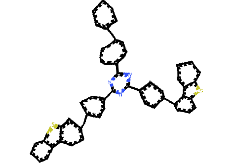 c1ccc(-c2ccc(-c3nc(-c4ccc(-c5ccc6c(c5)sc5ccccc56)cc4)nc(-c4ccc(-c5cccc6sc7ccccc7c56)cc4)n3)cc2)cc1